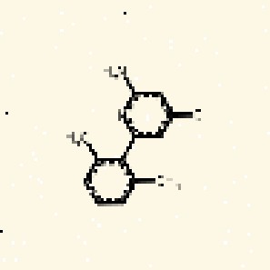 Cc1cccc(C)c1-c1cc(Cl)cc(N)n1